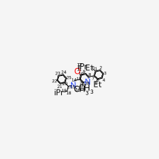 CCc1cccc(CC)c1-c1cc(OC(C)C)c(CN(C)C(CC(C)C)c2ccccc2)c(C)n1